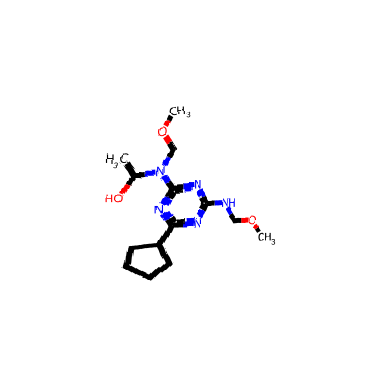 COCNc1nc(C2CCCC2)nc(N(COC)C(C)O)n1